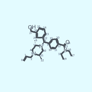 C=CCN1C[C@H](C)N([C@H](c2ccc(C(=O)N(CC)CC)cc2)c2cccc(CO)c2)C[C@H]1C